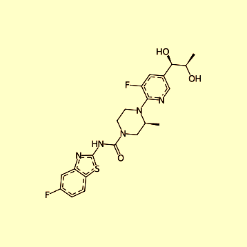 C[C@@H](O)[C@H](O)c1cnc(N2CCN(C(=O)Nc3nc4cc(F)ccc4s3)C[C@@H]2C)c(F)c1